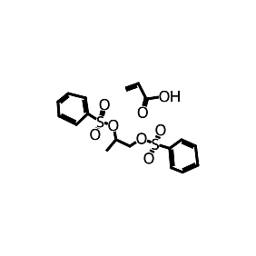 C=CC(=O)O.CC(COS(=O)(=O)c1ccccc1)OS(=O)(=O)c1ccccc1